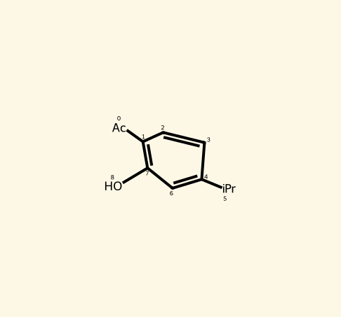 CC(=O)c1ccc(C(C)C)cc1O